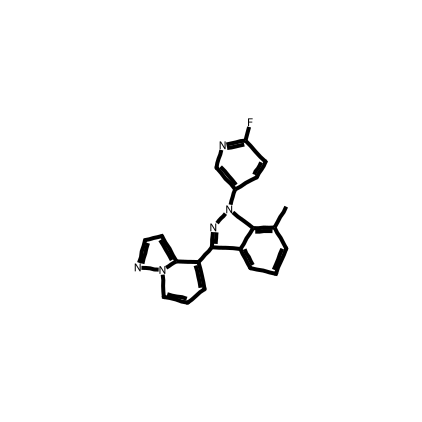 Cc1cccc2c(-c3cccn4nccc34)nn(-c3ccc(F)nc3)c12